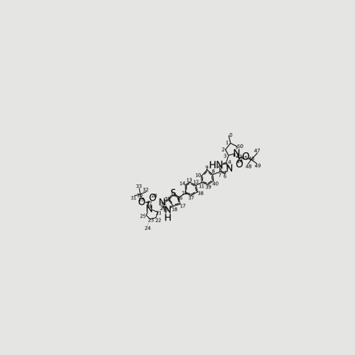 CC1CC(c2ncc(-c3ccc(-c4ccc(-c5cc6[nH]c([C@@H]7C[C@H](C)CN7C(=O)OC(C)(C)C)nc6s5)cc4)cc3)[nH]2)N(C(=O)OC(C)(C)C)C1